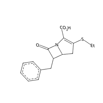 CCSC1=C(C(=O)O)N2C(=O)C(Cc3ccccc3)C2C1